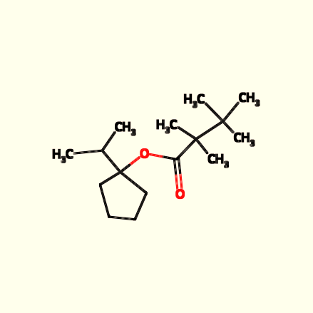 CC(C)C1(OC(=O)C(C)(C)C(C)(C)C)CCCC1